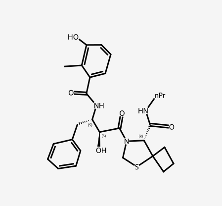 CCCNC(=O)[C@H]1N(C(=O)[C@@H](O)[C@H](Cc2ccccc2)NC(=O)c2cccc(O)c2C)CSC12CCC2